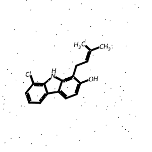 CC(C)=CCc1c(O)ccc2c1[nH]c1c(Cl)cccc12